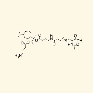 CCC(C)(OC(=O)CCCNC(=O)CCSSCC(NC(C)=O)C(=O)O)C1CCCC(C(C)C)CC1OC(=O)CCCN